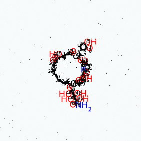 CO[C@@H]1C[C@H](C[C@@H](C)[C@@H]2CC(=O)[C@H](C)/C=C(\C)[C@@H](O)[C@@H](OC)C(=O)[C@H](C)C[C@H](C)/C=C/C=C/C=C(\C)C(OC[C@H](O)[C@H](O)[C@@H](O)[C@@H](O)C(N)=O)C[C@@H]3CC[C@@H](C)[C@@](O)(O3)C(=O)C(=O)N3CCCC[C@H]3C(=O)O2)CC[C@H]1O